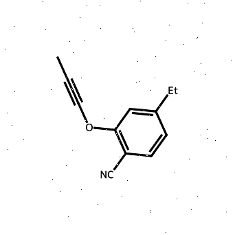 CC#COc1cc(CC)ccc1C#N